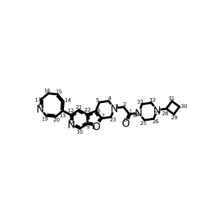 O=C(CN1CCc2c(oc3cnc(C4=C=CC/C=N\C=C/4)cc23)C1)N1CCN(C2CCC2)CC1